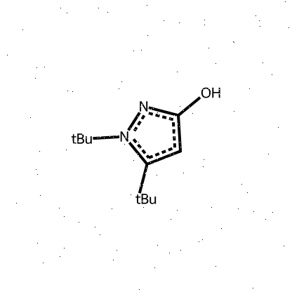 CC(C)(C)c1cc(O)nn1C(C)(C)C